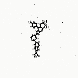 Cc1cc2nc(-c3ccnc(-c4ccc5nn(C6COC6)cc5c4)c3)sc2c(-c2ccc(Cl)cc2)c1CC(=O)O